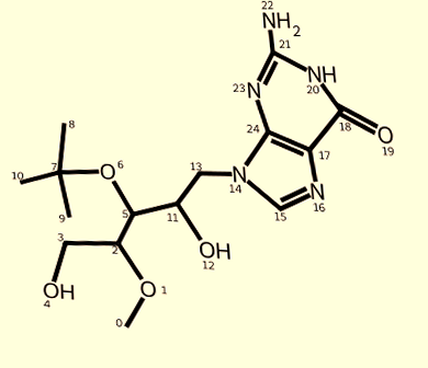 COC(CO)C(OC(C)(C)C)C(O)Cn1cnc2c(=O)[nH]c(N)nc21